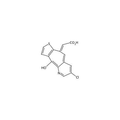 O=C(O)C=C1C=c2cc(Cl)cnc2=C(O)c2ccsc21